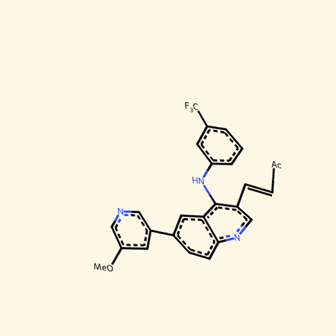 COc1cncc(-c2ccc3ncc(/C=C/C(C)=O)c(Nc4cccc(C(F)(F)F)c4)c3c2)c1